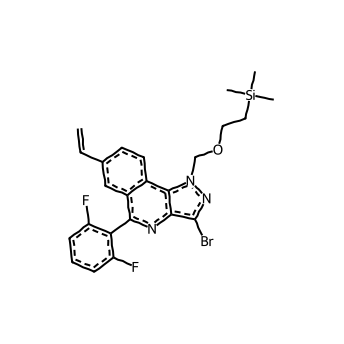 C=Cc1ccc2c(c1)c(-c1c(F)cccc1F)nc1c(Br)nn(COCC[Si](C)(C)C)c12